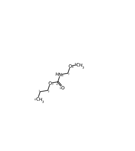 CCCOC(=O)NCOC